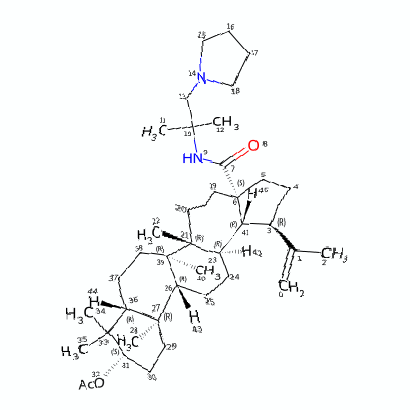 C=C(C)[C@@H]1CC[C@]2(C(=O)NC(C)(C)CN3CCCC3)CC[C@]3(C)[C@H](CC[C@@H]4[C@@]5(C)CC[C@H](OC(C)=O)C(C)(C)[C@@H]5CC[C@]43C)[C@@H]12